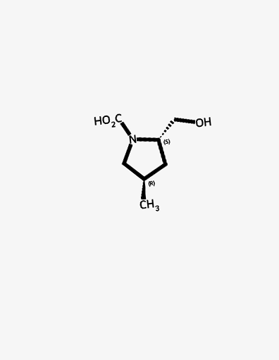 C[C@@H]1C[C@@H](CO)N(C(=O)O)C1